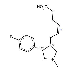 CN1C[C@H](C/C=C\CCC(=O)O)[C@@H](c2ccc(F)cc2)C1